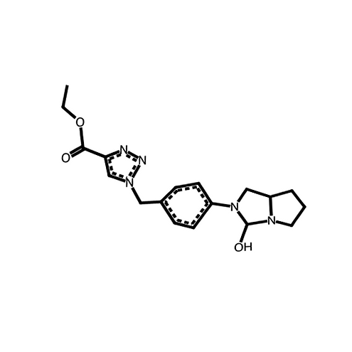 CCOC(=O)c1cn(Cc2ccc(N3CC4CCCN4C3O)cc2)nn1